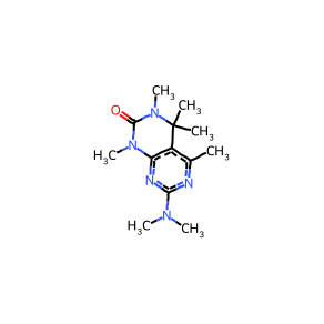 Cc1nc(N(C)C)nc2c1C(C)(C)N(C)C(=O)N2C